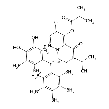 Bc1c(B)c(B)c(C(c2c(B)c(B)c(O)c(O)c2B)[C@H]2CN(C(C)C)C(=O)c3c(OC(=O)C(C)C)c(=O)cnn32)c(B)c1B